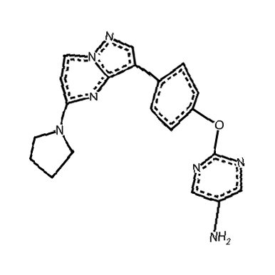 Nc1cnc(Oc2ccc(-c3cnn4ccc(N5CCCC5)nc34)cc2)nc1